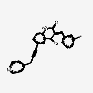 O=C1Nc2ccc(C#CCc3ccncc3)cc2C(=O)/C1=C\c1cccc(F)c1